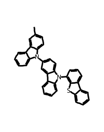 Cc1ccc2c(c1)c1ccccc1n2-c1ccc2c(c1)c1ccccc1n2-c1cccc2c1sc1ccccc12